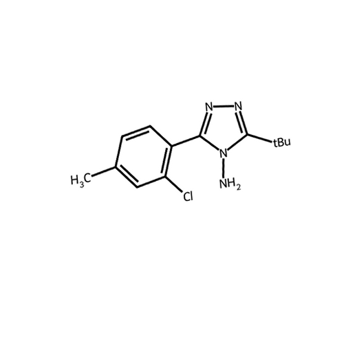 Cc1ccc(-c2nnc(C(C)(C)C)n2N)c(Cl)c1